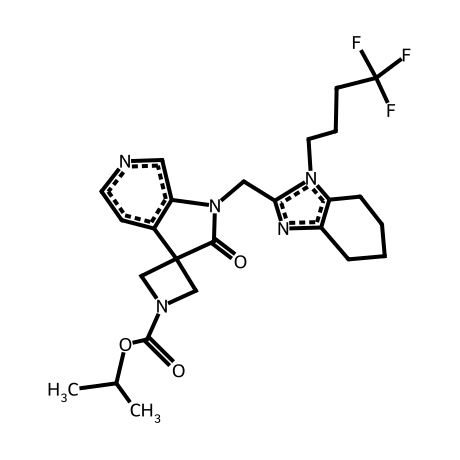 CC(C)OC(=O)N1CC2(C1)C(=O)N(Cc1nc3c(n1CCCC(F)(F)F)CCCC3)c1cnccc12